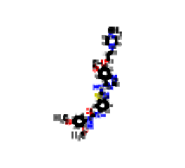 COc1ccc(NC(=O)Nc2ccc3nc(Nc4ncnc5cc(OCCCN6CCN(C)CC6)c(OC)cc45)sc3c2)c(OC)c1